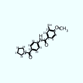 COc1ccc(C(=O)Nc2ccc(C(=O)N3CCCC3)cc2)cc1I